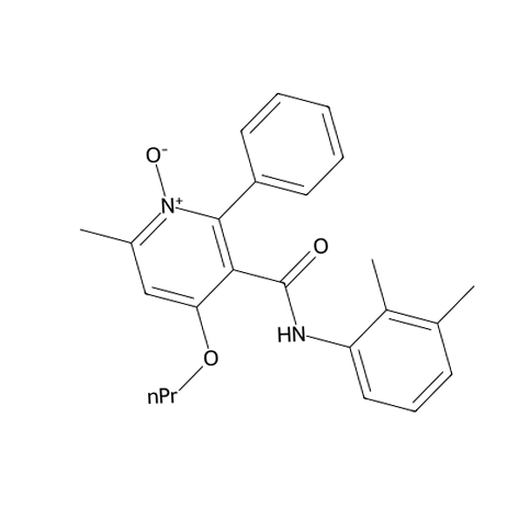 CCCOc1cc(C)[n+]([O-])c(-c2ccccc2)c1C(=O)Nc1cccc(C)c1C